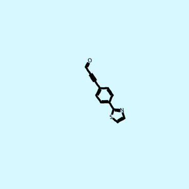 O=CC#Cc1ccc(-c2nccs2)cc1